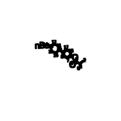 C=C(C)C(=O)Oc1ccc(C2CCC(CCCC)CC2)cc1